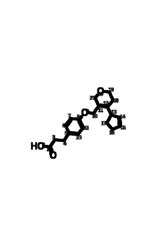 O=C(O)CCc1ccc(OCC2=C(C3C=CCC3)CCOC2)cc1